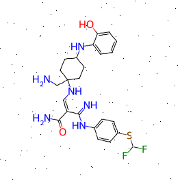 N=C(Nc1ccc(SC(F)F)cc1)/C(=C\NC1(CN)CCC(Nc2ccccc2O)CC1)C(N)=O